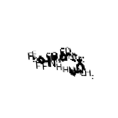 Cn1c(-c2ccc(OC(F)F)c(F)c2F)cnc1C(=O)Nc1ccc(C(=O)N2CCN(C(=O)C3CC[N+](C)(CC4CCNC4)CC3)CC2)c(Cl)c1